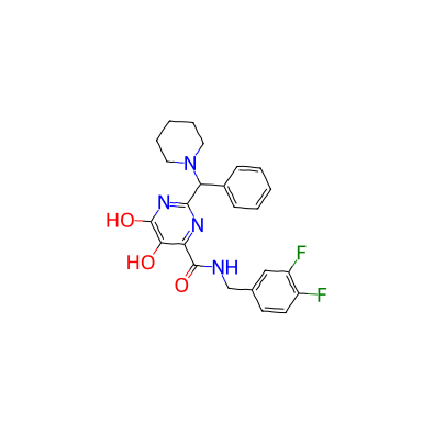 O=C(NCc1ccc(F)c(F)c1)c1nc(C(c2ccccc2)N2CCCCC2)nc(O)c1O